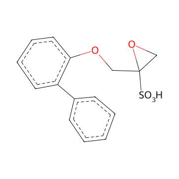 O=S(=O)(O)C1(COc2ccccc2-c2ccccc2)CO1